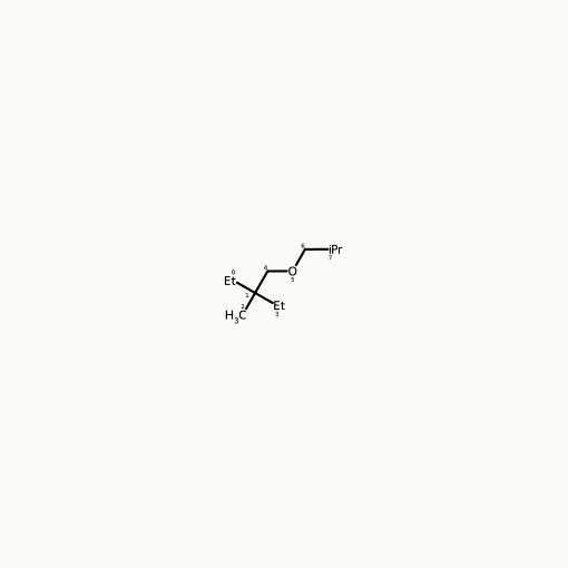 CCC(C)(CC)COCC(C)C